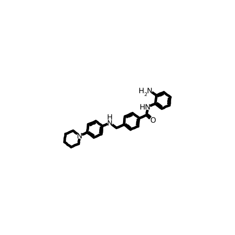 Nc1ccccc1NC(=O)c1ccc(CNc2ccc(N3CCCCC3)cc2)cc1